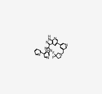 FC1(F)CCN(Cc2cncc(-c3cnc4[nH]nc(-c5nc6c(-c7ccccn7)cncc6[nH]5)c4c3)c2)C1